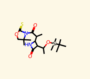 CC(O[Si](C)(C)C(C)(C)C)C1C(=O)NC1C(C)C(=O)N1C(=S)OCC1(C)C